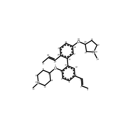 C/C=C/c1ccc(OC2CCN(C)CC2)c(-c2cc(OC3CCN(C)C3)ccc2/C=C/C)c1